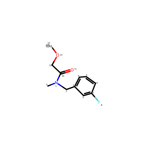 CN(Cc1cccc(F)c1)C(=O)COC(C)(C)C